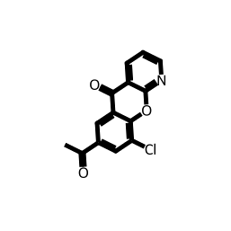 CC(=O)c1cc(Cl)c2oc3ncccc3c(=O)c2c1